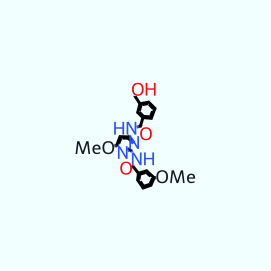 COc1cccc(C(=O)Nc2nc(NC(=O)c3cccc(CO)c3)cc(OC)n2)c1